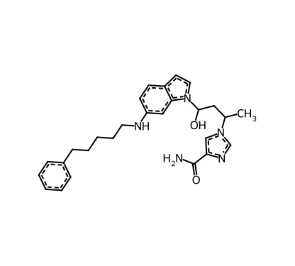 CC(CC(O)n1ccc2ccc(NCCCCCc3ccccc3)cc21)n1cnc(C(N)=O)c1